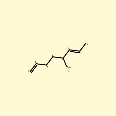 C=CCCC(O)/C=C/C